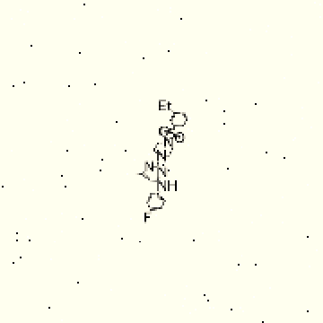 CCc1cccc(S(=O)(=O)N2CCN(c3nc(C)cc(Nc4ccc(F)cc4)n3)CC2)c1